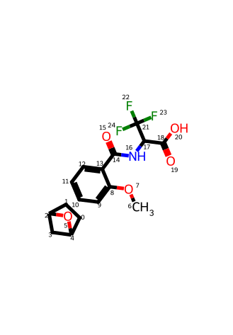 C1CC2CC1O2.COc1ccccc1C(=O)NC(C(=O)O)C(F)(F)F